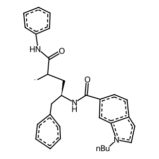 [CH2]C(C[C@H](Cc1ccccc1)NC(=O)c1ccc2ccn(CCCC)c2c1)C(=O)Nc1ccccc1